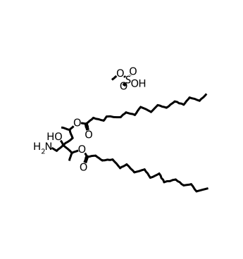 CCCCCCCCCCCCCCCC(=O)OC(C)CC(O)(CN)C(C)OC(=O)CCCCCCCCCCCCCCC.COS(=O)(=O)O